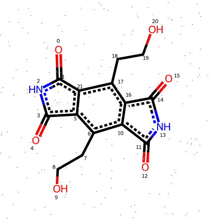 O=c1[nH]c(=O)c2c(CCO)c3c(=O)[nH]c(=O)c3c(CCO)c12